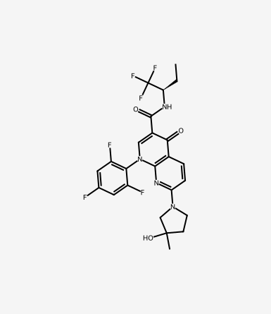 CC[C@@H](NC(=O)c1cn(-c2c(F)cc(F)cc2F)c2nc(N3CCC(C)(O)C3)ccc2c1=O)C(F)(F)F